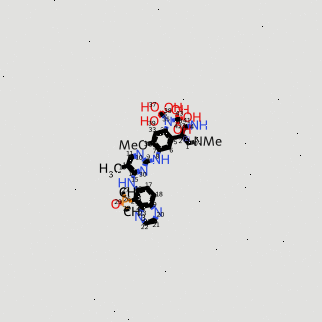 CN/C=C(\C=N)c1cc(Nc2ncc(C)c(Nc3ccc4nccnc4c3P(C)(C)=O)n2)c(OC)cc1N(C(O)(O)O)C(O)(O)O